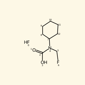 F.O=C(O)N(CF)C1CCCCC1